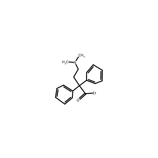 CCC(=O)C(CCN(C)C)(c1ccccc1)c1ccccc1